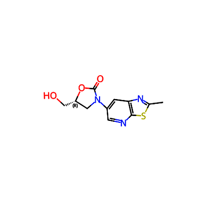 Cc1nc2cc(N3C[C@H](CO)OC3=O)cnc2s1